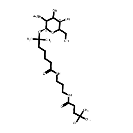 CC(=O)NC1C(O)[C@@H](O)C(CO)O[C@H]1OC(C)(C)CCCCC(=O)NCCCNC(=O)CCC(C)(C)C(C)C